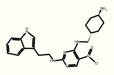 N[C@H]1CC[C@H](CNc2nc(NCCc3c[nH]c4ccccc34)ncc2[N+](=O)[O-])CC1